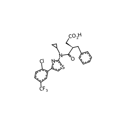 O=C(O)C[C@@H](Cc1ccccc1)C(=O)N(c1nc(-c2cc(C(F)(F)F)ccc2Cl)cs1)C1CC1